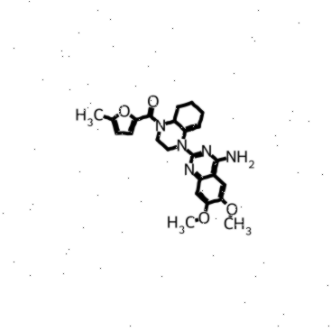 COc1cc2nc(N3CCN(C(=O)c4ccc(C)o4)C4CCCC=C43)nc(N)c2cc1OC